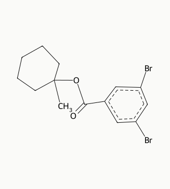 CC1(OC(=O)c2cc(Br)cc(Br)c2)CCCCC1